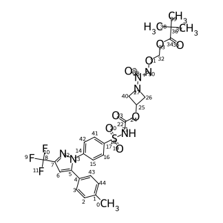 Cc1ccc(-c2cc(C(F)(F)F)nn2-c2ccc(S(=O)(=O)NC(=O)OC3CN(/[N+]([O-])=N/OCOC(=O)C(C)(C)C)C3)cc2)cc1